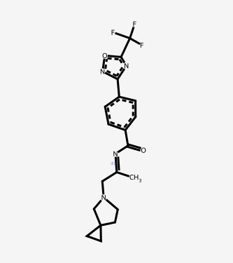 C/C(CN1CCC2(CC2)C1)=N\C(=O)c1ccc(-c2noc(C(F)(F)F)n2)cc1